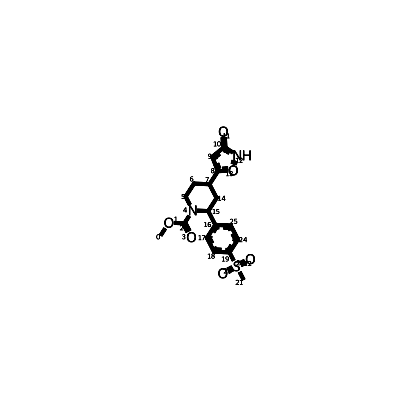 COC(=O)N1CCC(c2cc(=O)[nH]o2)CC1c1ccc(S(C)(=O)=O)cc1